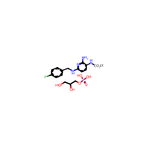 CCOC(=O)Nc1ccc(NCc2ccc(F)cc2)nc1N.O=P(O)(O)OCC(O)CO